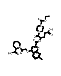 CCOC(=O)N1CCN(C(=O)C(CCC(=O)O)NC(=O)c2cc(OCC(=O)N3CCCCC3C(=O)O)c3ccc(C)cc3n2)CC1